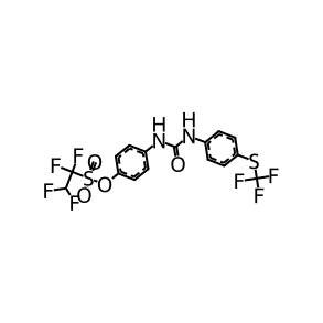 O=C(Nc1ccc(OS(=O)(=O)C(F)(F)C(F)F)cc1)Nc1ccc(SC(F)(F)F)cc1